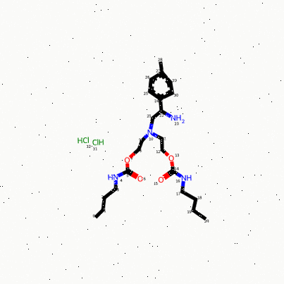 CCCCNC(=O)OCCN(CCOC(=O)NCCCC)CC(N)c1ccc(C)cc1.Cl.Cl